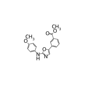 COC(=O)c1cccc(-c2cnc(Nc3ccc(OC)cc3)o2)c1